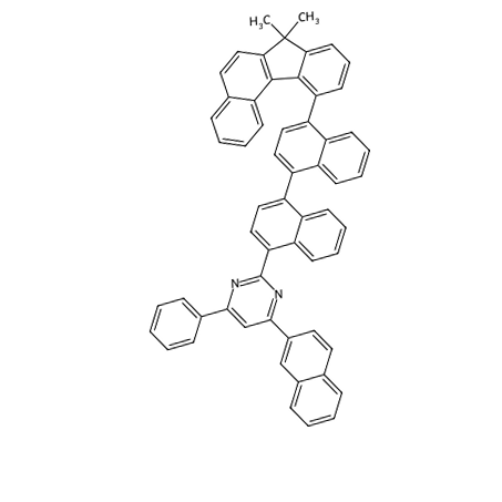 CC1(C)c2cccc(-c3ccc(-c4ccc(-c5nc(-c6ccccc6)cc(-c6ccc7ccccc7c6)n5)c5ccccc45)c4ccccc34)c2-c2c1ccc1ccccc21